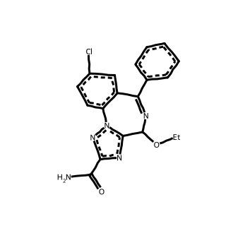 CCOC1N=C(c2ccccc2)c2cc(Cl)ccc2-n2nc(C(N)=O)nc21